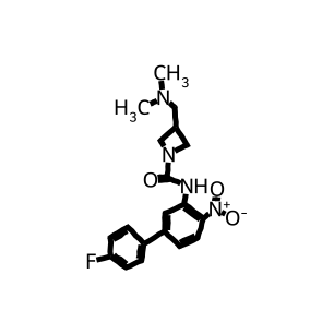 CN(C)CC1CN(C(=O)Nc2cc(-c3ccc(F)cc3)ccc2[N+](=O)[O-])C1